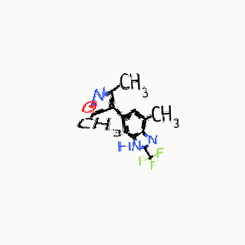 Cc1noc(C)c1-c1cc(C)c2nc(C(F)(F)F)[nH]c2c1